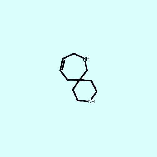 C1=CCC2(CCNCC2)CNC1